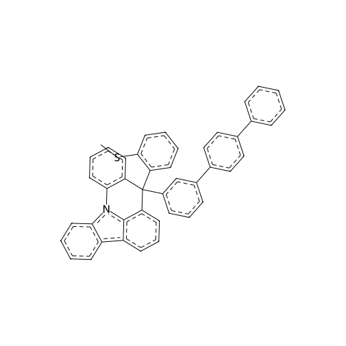 CSc1ccccc1C1(c2cccc(-c3ccc(-c4ccccc4)cc3)c2)c2ccccc2-n2c3ccccc3c3cccc1c32